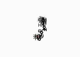 [2H]C([2H])([2H])c1ccccc1S(=O)(=O)NC(=O)c1ccc(Cc2cn(C)c3ccc(NC(=O)OC4([2H])C([2H])([2H])C([2H])([2H])C([2H])([2H])C4([2H])[2H])cc23)c(OC)c1